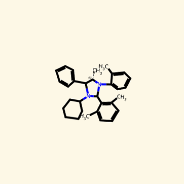 Cc1ccccc1N1C(c2c(C)cccc2C)N(C2CCCCC2)C(c2ccccc2)[C@@H]1C